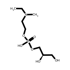 CCN(C)CCOP(=O)(O)OC[C@H](O)CO